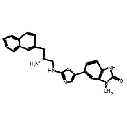 Cn1c(=O)[nH]c2ccc(-c3cnc(NC[C@H](N)Cc4ccc5ccccc5c4)s3)cc21